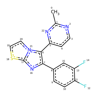 Cc1nccc(-c2c(-c3ccc(F)c(F)c3)nc3sccn23)n1